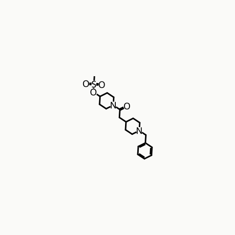 CS(=O)(=O)OC1CCN(C(=O)CC2CCN(Cc3ccccc3)CC2)CC1